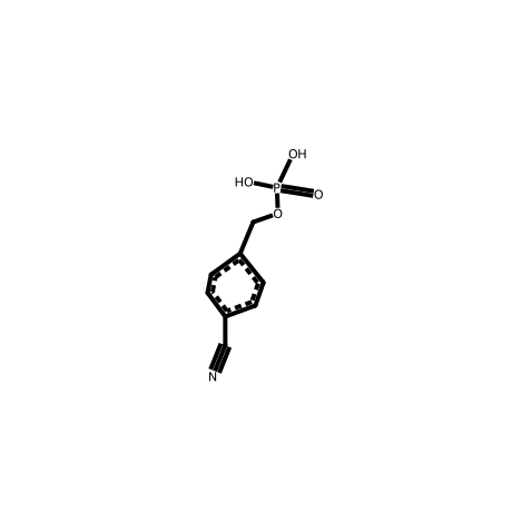 N#Cc1ccc(COP(=O)(O)O)cc1